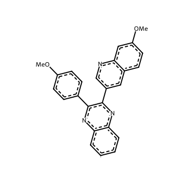 COc1ccc(-c2nc3c[c]ccc3nc2-c2cnc3cc(OC)ccc3c2)cc1